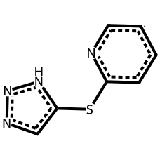 [c]1ccc(Sc2cnn[nH]2)nc1